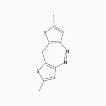 Cc1cc2c(s1)Cc1sc(C)cc1N=N2